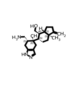 C=C1CC[C@H]2[C@H](CO)[C@@H]([C@@]3(C)Cc4cn[nH]c4C[C@@H]3CN)CC[C@]12C